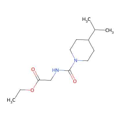 CCOC(=O)CNC(=O)N1CCC(C(C)C)CC1